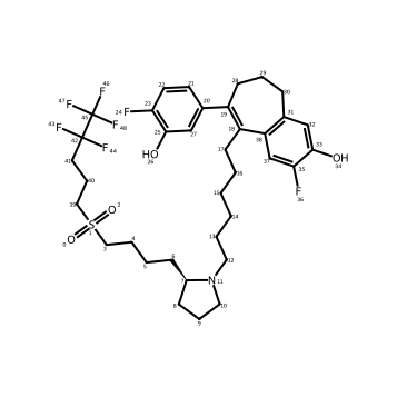 O=S(=O)(CCCC[C@@H]1CCCN1CCCCCCC1=C(c2ccc(F)c(O)c2)CCCc2cc(O)c(F)cc21)CCCC(F)(F)C(F)(F)F